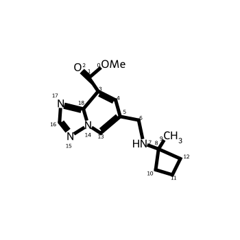 COC(=O)c1cc(CNC2(C)CCC2)cn2ncnc12